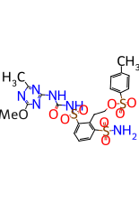 COc1nc(C)nc(NC(=O)NS(=O)(=O)c2cccc(S(N)(=O)=O)c2CCOS(=O)(=O)c2ccc(C)cc2)n1